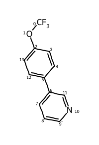 FC(F)(F)Oc1ccc(-c2cc[c]nc2)cc1